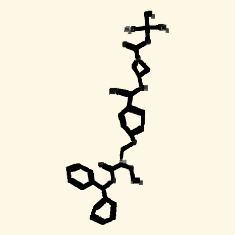 CC(C)(C)OC(=O)N1CC(NC(=N)c2ccc(OC[C@H](ON)C(=O)OC(c3ccccc3)c3ccccc3)cc2)C1